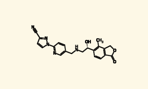 Cc1c([C@@H](O)CNCc2ccc(-n3ccc(C#N)n3)nc2)ccc2c1COC2=O